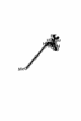 COCCOCCOCCOCCOCCOCCOCCOCCOCCOCCOCCOCCOC(=O)NC(C)(C=O)CN[C@H](C)C(=O)N[C@@H](CC(N)=O)C(=O)N[C@@H](CCN(C(=O)CO)[C@@H](c1cc(-c2cc(F)ccc2F)cn1Cc1ccccc1)C(C)(C)C)C(=O)NCCNC(=O)CN1C(=O)C=CC1=O